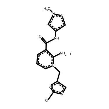 Cn1cc(NC(=O)c2ccc[n+](Cc3cnc(Cl)s3)c2N)cn1.[I-]